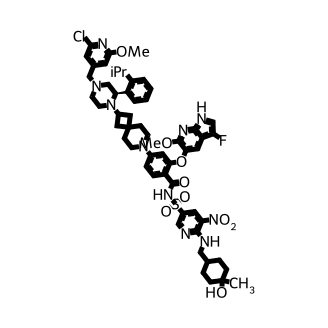 COc1cc(CN2CCN(C3CC4(CCN(c5ccc(C(=O)NS(=O)(=O)c6cnc(NCC7CCC(C)(O)CC7)c([N+](=O)[O-])c6)c(Oc6cc7c(F)c[nH]c7nc6OC)c5)CC4)C3)[C@H](c3ccccc3C(C)C)C2)cc(Cl)n1